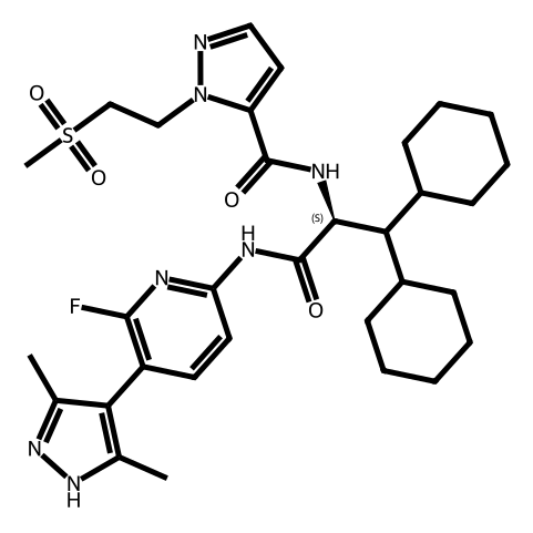 Cc1n[nH]c(C)c1-c1ccc(NC(=O)[C@@H](NC(=O)c2ccnn2CCS(C)(=O)=O)C(C2CCCCC2)C2CCCCC2)nc1F